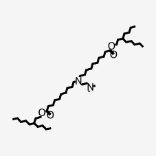 CCCCCC(CCCC)CCOC(=O)CCCCCCCCCN(CCCCCCCCCC(=O)OCCC(CCCC)CCCCC)CCN(C)C